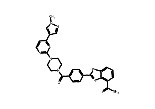 Cn1cc(-c2ccnc(N3CCN(C(=O)c4ccc(-c5nc6c(C(N)=O)cccc6[nH]5)cc4)CC3)n2)cn1